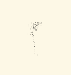 CCCCCCCCCCCCCCCC(=O)O[C@H](CC)COP(=O)(O)OC1C(O)[C@H](O)C(O)[C@H](OP(=O)(O)O)[C@@H]1O